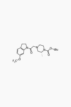 C[C@@H]1CN(CC(=O)N2CCc3ccc(OC(F)(F)F)cc32)CCN1C(=O)OC(C)(C)C